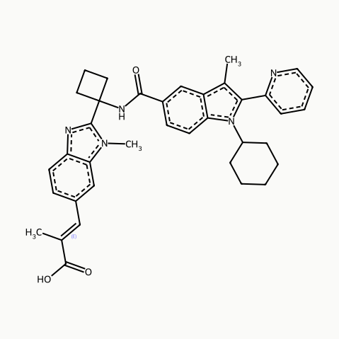 C/C(=C\c1ccc2nc(C3(NC(=O)c4ccc5c(c4)c(C)c(-c4ccccn4)n5C4CCCCC4)CCC3)n(C)c2c1)C(=O)O